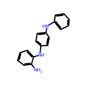 Nc1ccccc1Nc1ccc(Nc2ccccc2)cc1